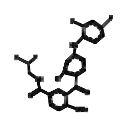 COc1ccc(C(=O)NCC(F)F)cc1C(=O)c1ccc(Nc2ccc(F)cc2F)cc1Cl